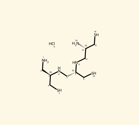 Cl.NC[C@H](CS)NC[C@@H](CS)NC[C@H](N)CS